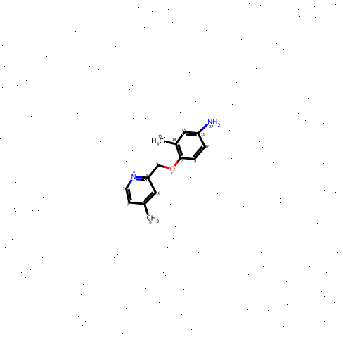 Cc1ccnc(COc2ccc(N)cc2C)c1